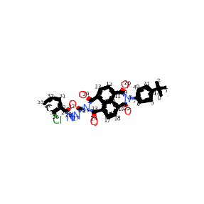 CC(C)(C)c1ccc(N2C(=O)c3ccc4c5c(ccc(c35)C2=O)C(=O)N(c2nnc(-c3ccccc3Cl)o2)C4=O)cc1